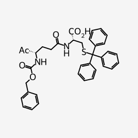 CC(=O)[C@H](CCC(=O)N[C@@H](CSC(c1ccccc1)(c1ccccc1)c1ccccc1)C(=O)O)NC(=O)OCc1ccccc1